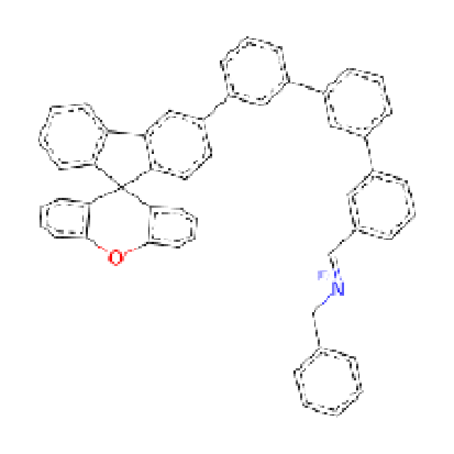 C(=N\Cc1ccccc1)/c1cccc(-c2cccc(-c3cccc(-c4ccc5c(c4)-c4ccccc4C54c5ccccc5Oc5ccccc54)c3)c2)c1